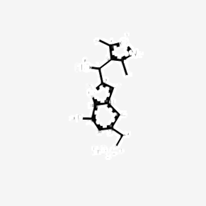 Cc1noc(C)c1C(O)c1cc2cc(CC(=O)O)cc(F)c2o1